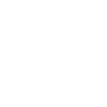 Cc1noc(-c2nnn(Cc3cc(C(F)(F)F)cc(C(F)(F)F)c3)c2-c2ccccc2)c1Cc1ccccc1Cl